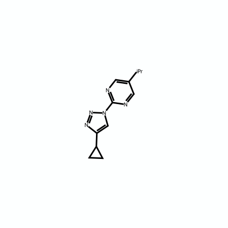 CC(C)c1cnc(-n2cc(C3CC3)nn2)nc1